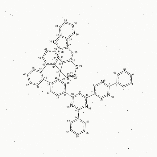 c1ccc(-c2ncc(-c3cc(-c4ccc5c(c4)C4(c6ccccc6Sc6cc7c(cc64)oc4ccccc47)c4ccccc4-c4ccccc4-5)nc(-c4ccccc4)n3)cn2)cc1